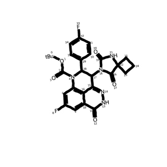 CC(C)(C)OC(=O)N1c2cc(F)cc3c(=O)[nH]nc(c23)C(N2C(=O)NC3(CCC3)C2=O)C1c1ccc(F)cc1